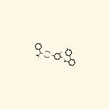 CCNC(=O)C(c1ccccc1)N1CCN(c2ccc(NC(=O)c3ccccc3-c3ccc(C(F)(F)F)cc3)c(C)c2)CC1